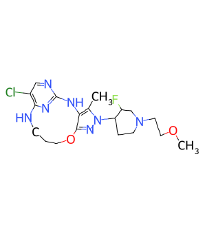 COCCN1CCC(n2nc3c(c2C)Nc2ncc(Cl)c(n2)NCCCO3)C(F)C1